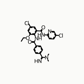 CCOc1cc(Cl)cc(C(=O)Nc2ccc(Cl)cn2)c1NC(=O)c1ccc(C(=N)N(C)C)cc1